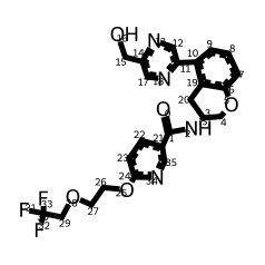 O=C(N[C@@H]1COc2cccc(-c3cnc(CO)cn3)c2C1)c1ccc(OCCOCC(F)(F)F)nc1